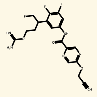 C#CCOc1cnc(C(=O)Nc2cc(F)c(F)c(C(CF)CCOC(=N)N)c2)cn1